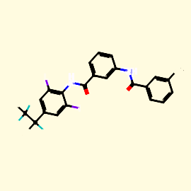 N#Cc1cccc(C(=O)Nc2cccc(C(=O)Nc3c(I)cc(C(F)(C(F)(F)F)C(F)(F)C(F)(F)F)cc3I)c2)c1